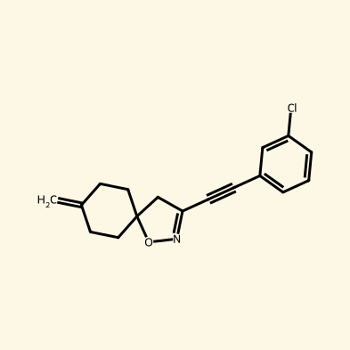 C=C1CCC2(CC1)CC(C#Cc1cccc(Cl)c1)=NO2